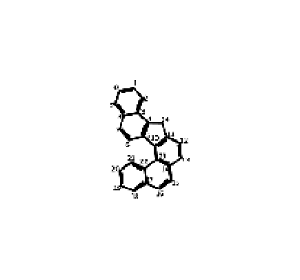 c1ccc2c3c(ccc2c1)-c1c(ccc2ccc4ccccc4c12)C3